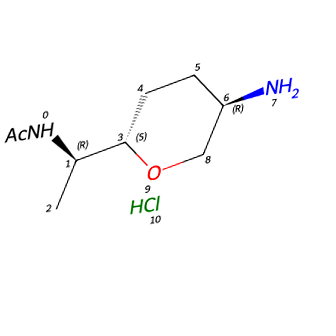 CC(=O)N[C@H](C)[C@@H]1CC[C@@H](N)CO1.Cl